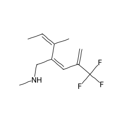 C=C(/C=C(CNC)\C(C)=C/C)C(F)(F)F